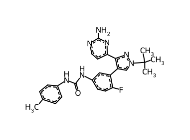 Cc1ccc(NC(=O)Nc2ccc(F)c(-c3cn(C(C)(C)C)nc3-c3ccnc(N)n3)c2)cc1